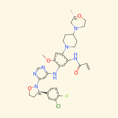 C=CC(=O)Nc1cc(Nc2cc(N3OCC[C@@H]3c3ccc(F)c(Cl)c3)ncn2)c(OC)cc1N1CCC(N2CCO[C@@H](C)C2)CC1